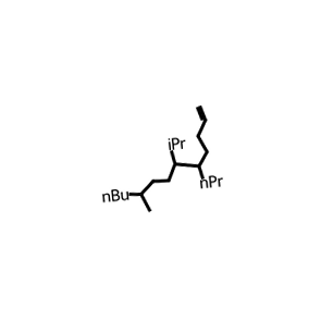 C=CCCC(CCC)C(CCC(C)CCCC)C(C)C